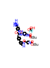 Cc1ccc(-c2ccc(C[C@H](NC(=O)[C@H]3CC[C@H](CNC(=O)OC(C)(C)C)CC3)C(=O)Nc3ccc(-c4nn[nH]n4)cc3)cc2)cc1NC(=O)C1CCN(C(=O)OC(C)(C)C)CC1.O=C(O)C(F)(F)F